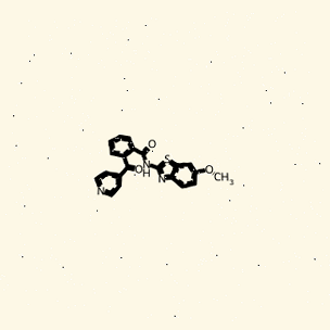 COc1ccc2nc(NC(=O)c3ccccc3C(=O)c3ccncc3)sc2c1